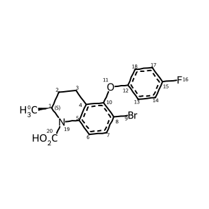 C[C@H]1CCc2c(ccc(Br)c2Oc2ccc(F)cc2)N1C(=O)O